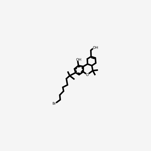 CC(C)(CCCCCCBr)c1cc(O)c2c(c1)OC(C)(C)C1CC=C(CO)CC21